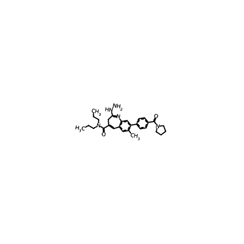 CCCN(CCC)C(=O)C1=Cc2cc(C)c(-c3ccc(C(=O)N4CCCC4)cc3)cc2N=C(NN)C1